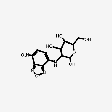 O=[N+]([O-])c1ccc(NC2C(O)OC(CO)C(O)C2O)c2nonc12